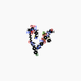 Cc1ncsc1-c1ccc([C@H](C)NC(=O)[C@@H]2C[C@@H](O)CN2C(=O)[C@@H](NC(=O)CCCCCCC(=O)N2CCN(CC3(C)CCC(c4ccc(Cl)cc4)=C(CN4CCN(c5ccc(C(=O)NS(=O)(=O)c6ccc(N[C@H](CCN7C[C@H]8C[C@@H]7CO8)CSc7ccccc7)c(S(=O)(=O)C(F)(F)F)c6)cc5)CC4)C3)CC2)C(C)(C)C)cc1